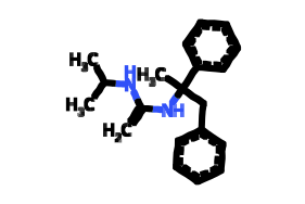 C=C(NC(C)C)NC(C)(Cc1ccccc1)c1ccccc1